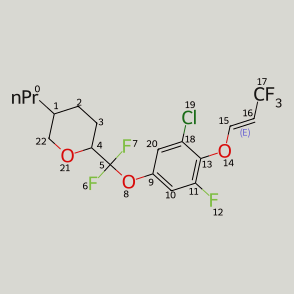 CCCC1CCC(C(F)(F)Oc2cc(F)c(O/C=C/C(F)(F)F)c(Cl)c2)OC1